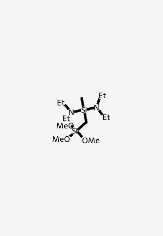 CCN(CC)[Si](C)(C[Si](OC)(OC)OC)N(CC)CC